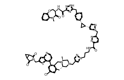 Cc1cc(Cl)cc(-c2ccnc3cc(CN4C(=O)C5CC5C4=O)sc23)c1CN1[C@@H](C)CN(Cc2cnn(CCCNC(=O)c3ccc(Cn4cc([C@@H]5C[C@@H]5c5ccc(Cc6nc(C(=O)N[C@@H]7COc8ccccc8N(C)C7=O)n[nH]6)cc5)cn4)nn3)c2)C[C@@H]1C